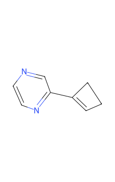 C1=C(c2cnccn2)CC1